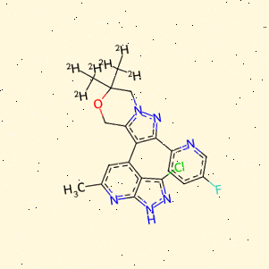 [2H]C([2H])([2H])C1(C([2H])([2H])[2H])Cn2nc(-c3ccc(F)cn3)c(-c3cc(C)nc4[nH]nc(Cl)c34)c2CO1